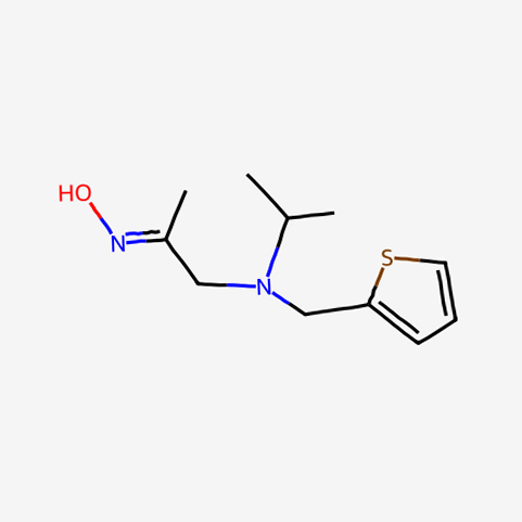 C/C(CN(Cc1cccs1)C(C)C)=N\O